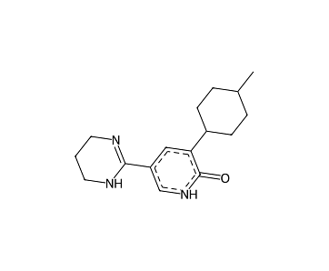 CC1CCC(c2cc(C3=NCCCN3)c[nH]c2=O)CC1